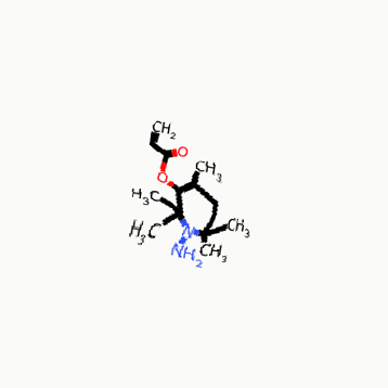 C=CC(=O)OC1C(C)CC(C)(C)N(N)C1(C)C